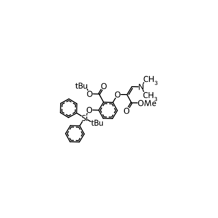 COC(=O)C(=CN(C)C)Oc1cccc(O[Si](c2ccccc2)(c2ccccc2)C(C)(C)C)c1C(=O)OC(C)(C)C